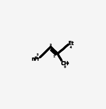 [CH]C(=CCCC)CC